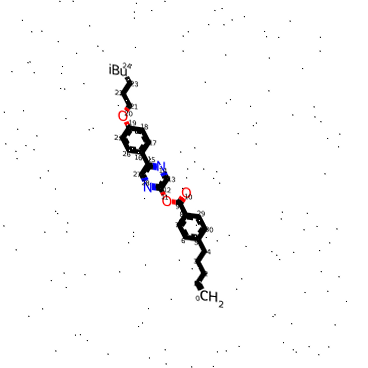 C=CCCCc1ccc(C(=O)Oc2cnc(-c3ccc(OCCCC(C)CC)cc3)cn2)cc1